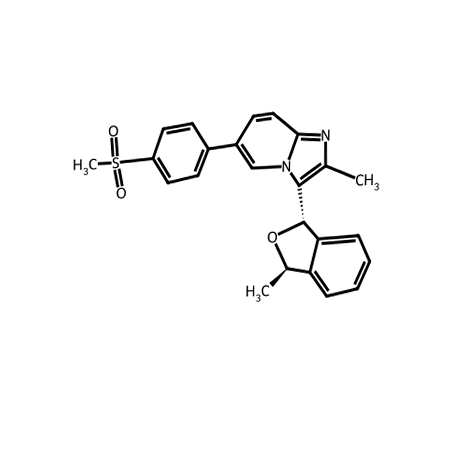 Cc1nc2ccc(-c3ccc(S(C)(=O)=O)cc3)cn2c1[C@H]1O[C@H](C)c2ccccc21